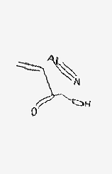 C=CC(=O)O.[N]#[Al]